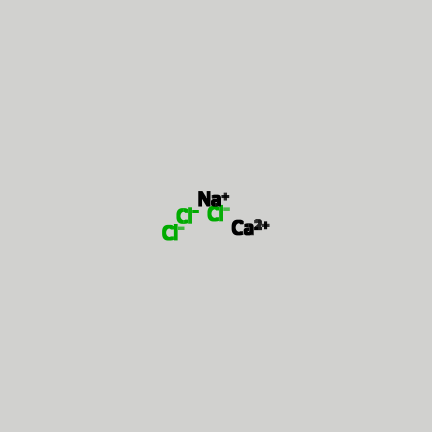 [Ca+2].[Cl-].[Cl-].[Cl-].[Na+]